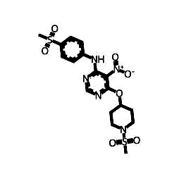 CS(=O)(=O)c1ccc(Nc2ncnc(OC3CCN(S(C)(=O)=O)CC3)c2[N+](=O)[O-])cc1